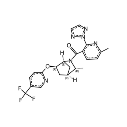 Cc1ccc(C(=O)N2[C@H](C)[C@H]3C[C@@H](Oc4ccc(C(F)(F)F)cn4)[C@@H]2C3)c(-n2nccn2)n1